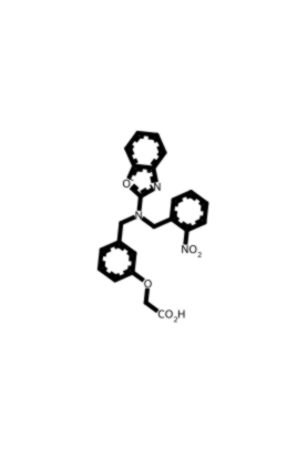 O=C(O)COc1cccc(CN(Cc2ccccc2[N+](=O)[O-])c2nc3ccccc3o2)c1